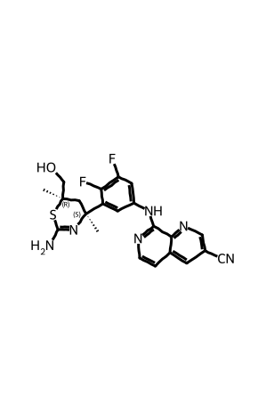 C[C@]1(CO)C[C@@](C)(c2cc(Nc3nccc4cc(C#N)cnc34)cc(F)c2F)N=C(N)S1